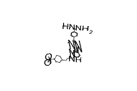 COC(=O)C1CCC(CCNc2ccc3nc(-c4ccc(C(=N)N)cc4)n(C)c3n2)CC1